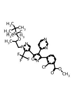 COC(=O)c1cccc(-c2noc(-c3cnn(CC(C)O[Si](C)(C)C(C)(C)C)c3C(F)(F)F)c2-c2ccncn2)c1Cl